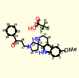 COc1ccc2[nH]c3c(c2c1)CCNC31CCN(CCC(=O)c2ccccc2)C1.O=C(O)C(F)(F)F